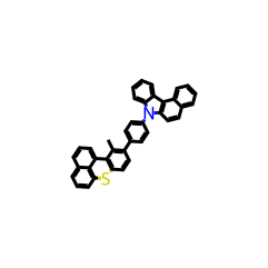 Cc1c(-c2ccc(-n3c4ccccc4c4c5ccccc5ccc43)cc2)ccc2c1-c1cccc3cccc(c13)S2